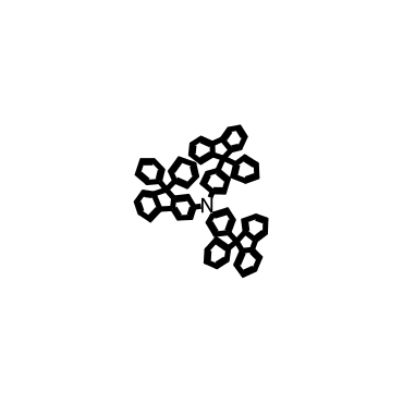 c1ccc(C2(c3ccc(N(c4ccc(C5(c6ccccc6)c6ccccc6-c6ccccc65)cc4)c4ccc5c(c4)C(c4ccccc4)(c4ccccc4)c4ccccc4-5)cc3)c3ccccc3-c3ccccc32)cc1